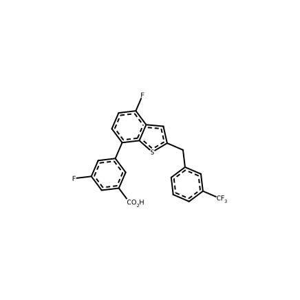 O=C(O)c1cc(F)cc(-c2ccc(F)c3cc(Cc4cccc(C(F)(F)F)c4)sc23)c1